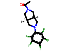 CC(=O)N1C[C@@H]2CN(c3c(F)c(F)c(F)c(F)c3F)C[C@@H]2C1